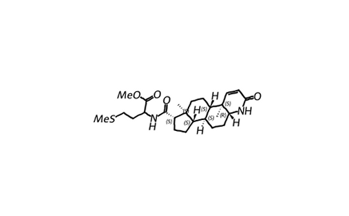 COC(=O)C(CCSC)NC(=O)[C@H]1CC[C@H]2[C@@H]3CC[C@H]4NC(=O)C=C[C@]4(C)[C@H]3CC[C@]12C